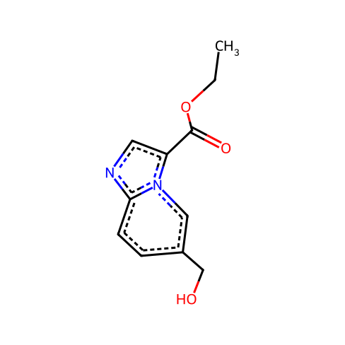 CCOC(=O)c1cnc2ccc(CO)cn12